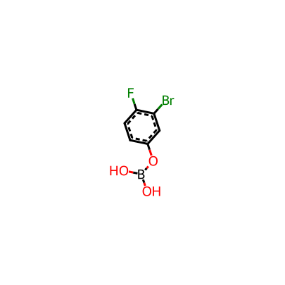 OB(O)Oc1ccc(F)c(Br)c1